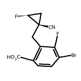 N#C[C@]1(Cc2c(C(=O)O)ccc(Br)c2F)C[C@H]1F